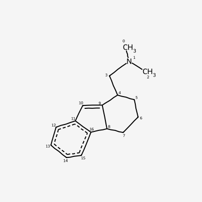 CN(C)CC1CCCC2C1=Cc1ccccc12